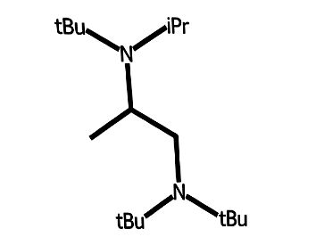 CC(C)N(C(C)CN(C(C)(C)C)C(C)(C)C)C(C)(C)C